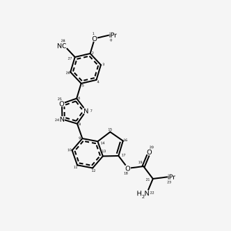 CC(C)Oc1ccc(-c2nc(-c3cccc4c3CC=C4OC(=O)C(N)C(C)C)no2)cc1C#N